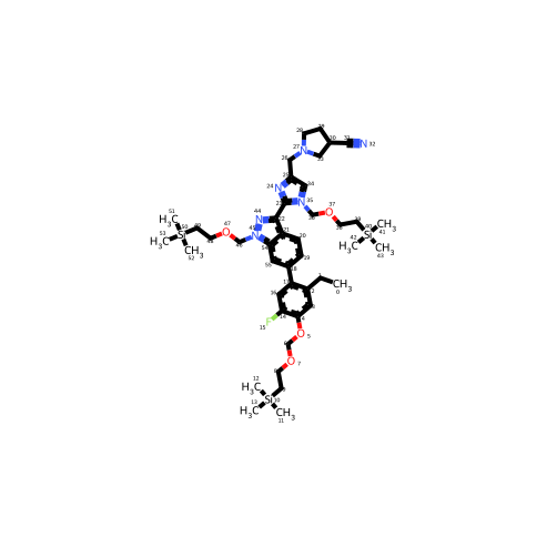 CCc1cc(OCOCC[Si](C)(C)C)c(F)cc1-c1ccc2c(-c3nc(CN4CCC(C#N)C4)cn3COCC[Si](C)(C)C)nn(COCC[Si](C)(C)C)c2c1